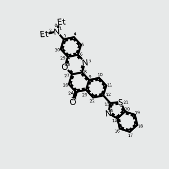 CCN(CC)c1ccc2nc3c4ccc(-c5nc6ccccc6s5)cc4c(=O)cc-3oc2c1